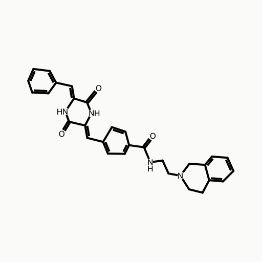 O=C(NCCN1CCc2ccccc2C1)c1ccc(/C=c2\[nH]c(=O)/c(=C/c3ccccc3)[nH]c2=O)cc1